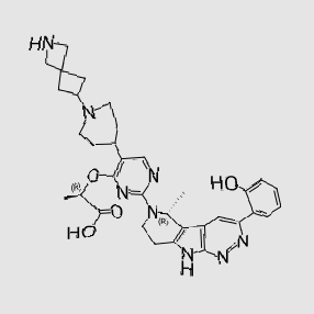 C[C@@H]1c2c([nH]c3nnc(-c4ccccc4O)cc23)CCN1c1ncc(C2CCN(C3CC4(CNC4)C3)CC2)c(O[C@H](C)C(=O)O)n1